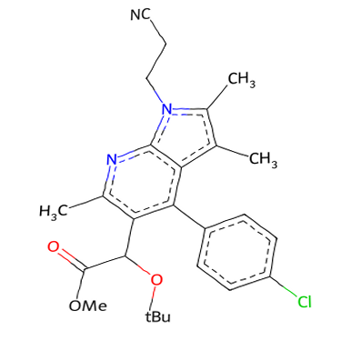 COC(=O)C(OC(C)(C)C)c1c(C)nc2c(c(C)c(C)n2CCC#N)c1-c1ccc(Cl)cc1